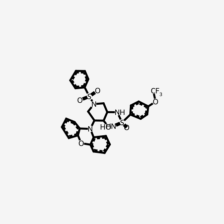 N=S(=O)(NC1CN(S(=O)(=O)c2ccccc2)CC(N2c3ccccc3Oc3ccccc32)C1O)c1ccc(OC(F)(F)F)cc1